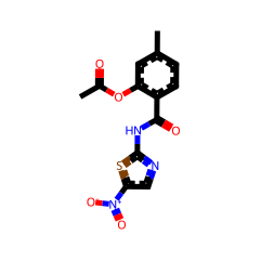 CC(=O)Oc1cc(C)ccc1C(=O)Nc1ncc([N+](=O)[O-])s1